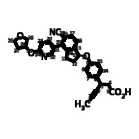 CC#CC(CC(=O)O)c1ccc(O[C@@H]2CCc3c2ccc(C#N)c3-c2ccc(OC3CCOC3)nc2)cc1